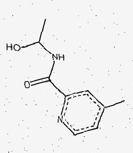 Cc1[c]cnc(C(=O)NC(C)O)c1